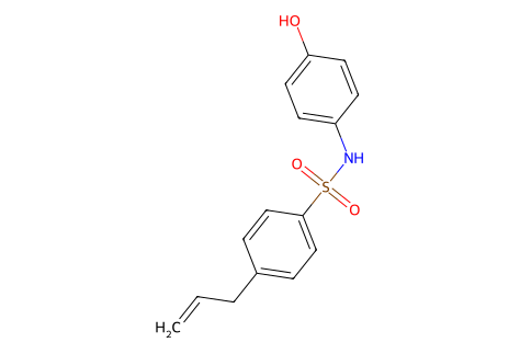 C=CCc1ccc(S(=O)(=O)Nc2ccc(O)cc2)cc1